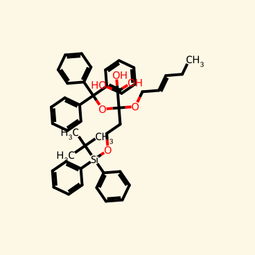 CCC=CCOC(CCO[Si](c1ccccc1)(c1ccccc1)C(C)(C)C)(OC(c1ccccc1)(c1ccccc1)c1ccccc1)C(O)(O)O